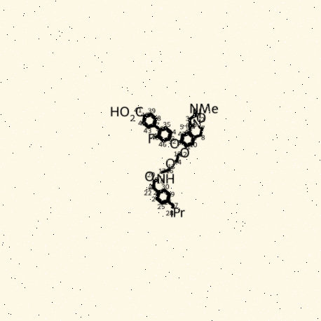 CNC(=O)C[C@@]1(C)NCCc2cc(OCCOCCNC(=O)[C@@H](C)c3ccc(CC(C)C)cc3)c(Oc3ccc(-c4ccc(C(=O)O)cc4)c(F)c3)cc21